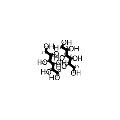 OC[C@@H](O)[C@@H](O)[C@H](O)[C@@H](O)CO.OC[C@@H](O)[C@@H](O)[C@H](O)[C@H](O)CO